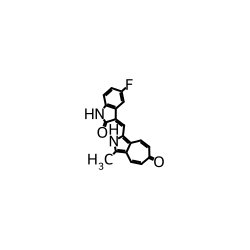 Cc1[nH]c(/C=C2\C(=O)Nc3ccc(F)cc32)c2ccc(=O)ccc12